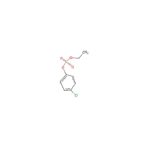 CCOS(=O)(=O)Oc1ccc(Cl)cc1